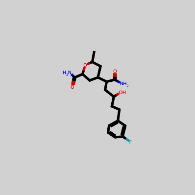 CC1CC(C(CC(O)[CH]Cc2cccc(F)c2)C(N)=O)CC(C(N)=O)O1